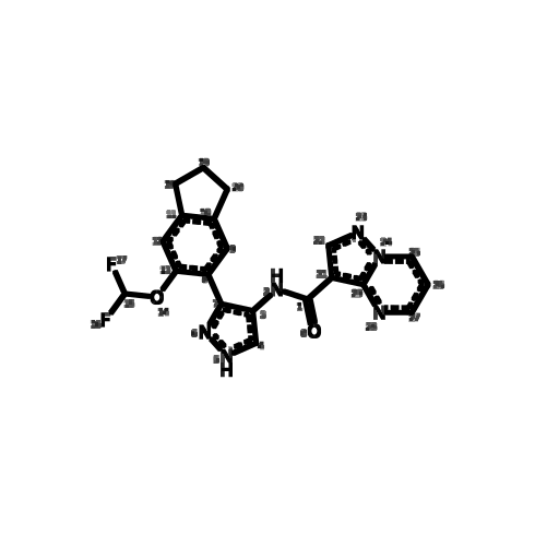 O=C(Nc1c[nH]nc1-c1cc2c(cc1OC(F)F)CCC2)c1cnn2cccnc12